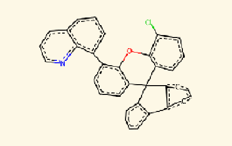 Clc1cccc2c1Oc1c(-c3cccc4cccnc34)cccc1C21c2ccccc2-c2ccccc21